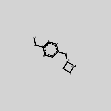 CCc1ccc(C[C@@H]2CCN2)cc1